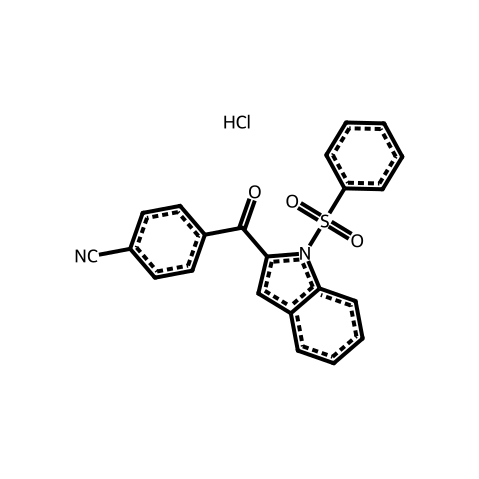 Cl.N#Cc1ccc(C(=O)c2cc3ccccc3n2S(=O)(=O)c2ccccc2)cc1